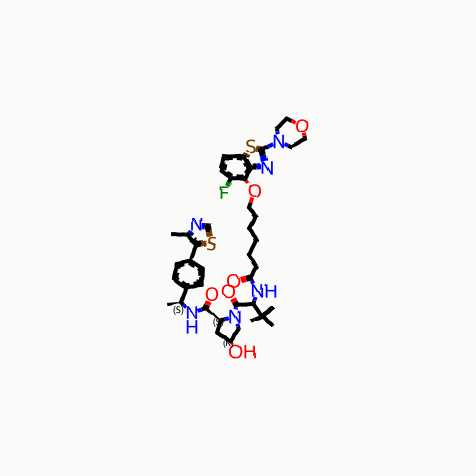 Cc1ncsc1-c1ccc([C@H](C)NC(=O)[C@@H]2C[C@@H](O)CN2C(=O)C(NC(=O)CCCCCCOc2c(F)ccc3sc(N4CCOCC4)nc23)C(C)(C)C)cc1